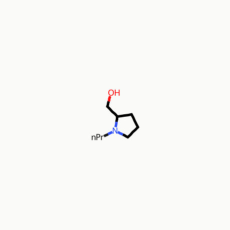 [CH2]CCN1CCCC1CO